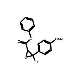 CCC1(c2ccc(OC)cc2)OC1C(=O)Oc1ccccc1